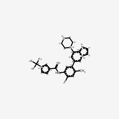 Cc1cc(F)c(NC(=O)c2ccn(C(F)(F)F)c2)cc1-c1cc(N2CCOCC2)c2nccn2c1